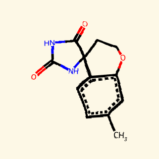 Cc1ccc2c(c1)OCCC21NC(=O)NC1=O